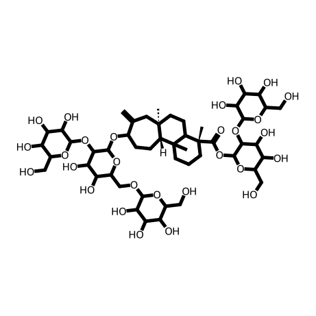 C=C1C[C@@]2(C)CCC3C(C)(CCC[C@@]3(C)C(=O)OC3OC(CO)C(O)C(O)C3OC3OC(CO)C(O)C(O)C3O)[C@@H]2CCC1OC1OC(COC2OC(CO)C(O)C(O)C2O)C(O)C(O)C1OC1OC(CO)C(O)C(O)C1O